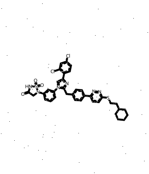 O=C1CN(c2cccc(-n3cc(-c4ccc(Cl)cc4Cl)nc3Cc3ccc(-c4ccc(SCCC5CCCCC5)nn4)cc3)c2)S(=O)(=O)N1